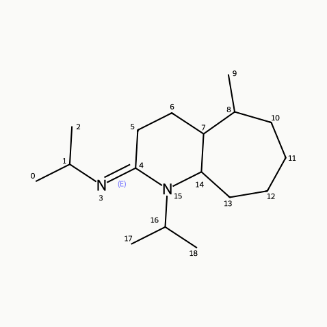 CC(C)/N=C1\CCC2C(C)CCCCC2N1C(C)C